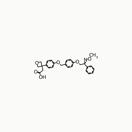 CON=C(COc1ccc(COc2ccc(C3(CC(=O)O)COC3)cc2)cc1)c1ccccc1